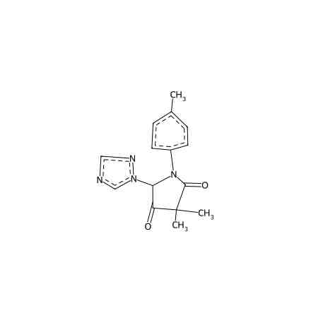 Cc1ccc(N2C(=O)C(C)(C)C(=O)C2n2cncn2)cc1